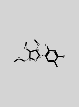 COC[C@H]1O[C@@H](c2cc(C)c(F)cc2F)[C@@H](OC)C1OC